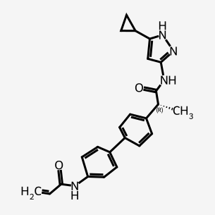 C=CC(=O)Nc1ccc(-c2ccc([C@@H](C)C(=O)Nc3cc(C4CC4)[nH]n3)cc2)cc1